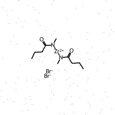 CCCC(=O)[N](C)[Zr+2][N](C)C(=O)CCC.[Br-].[Br-]